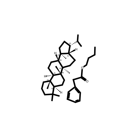 CC(C)[C@H]1CC[C@]2(C)[C@H]3CC[C@@H]4[C@@]5(C)CCCC(C)(C)[C@@H]5CC[C@@]4(C)[C@]3(C)CC[C@@H]12.CCCCOC(=O)Cc1ccccc1